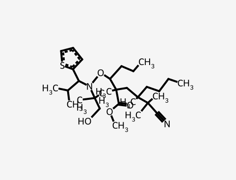 CCCCC(C)(CC(C)(C(=O)OC)C(CCC)ON(C(c1cccs1)C(C)C)C(C)(C)CO)C(C)(C)C#N